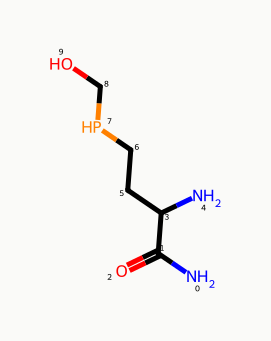 NC(=O)C(N)CCPCO